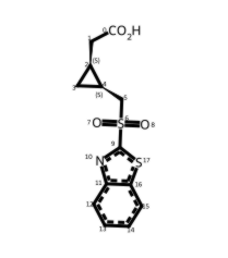 O=C(O)C[C@@H]1C[C@@H]1CS(=O)(=O)c1nc2ccccc2s1